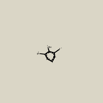 [CH2]CCCc1c(F)cccc1C(C)C